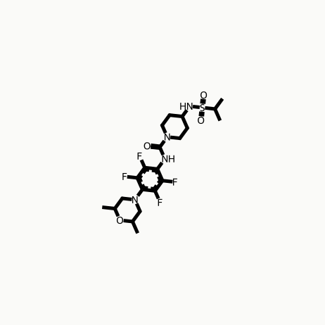 CC1CN(c2c(F)c(F)c(NC(=O)N3CCC(NS(=O)(=O)C(C)C)CC3)c(F)c2F)CC(C)O1